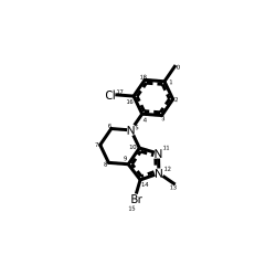 Cc1ccc(N2CCCc3c2nn(C)c3Br)c(Cl)c1